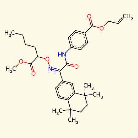 C=CCOC(=O)c1ccc(NC(=O)/C(=N\OC(CCCC)C(=O)OC)c2ccc3c(c2)C(C)(C)CCC3(C)C)cc1